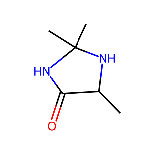 CC1NC(C)(C)NC1=O